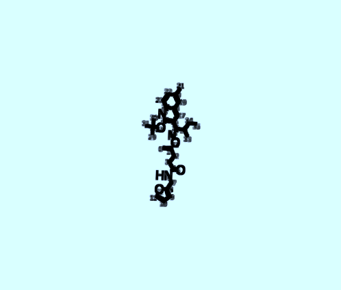 C=C(CCC(=O)NCc1ccco1)O/N=C(/c1cc2cc(C)ccc2nc1OC(C)(C)C)C(C)CC